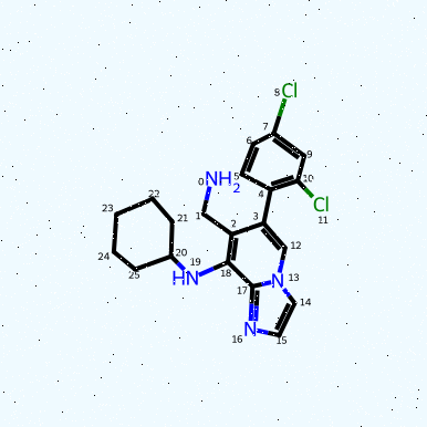 NCc1c(-c2ccc(Cl)cc2Cl)cn2ccnc2c1NC1CCCCC1